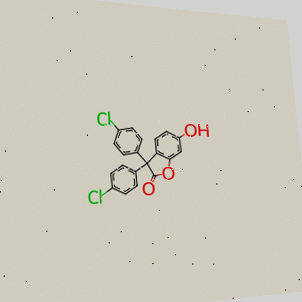 O=C1Oc2cc(O)ccc2C1(c1ccc(Cl)cc1)c1ccc(Cl)cc1